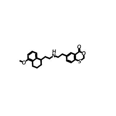 COc1cccc2c1CCCC2CCNCCc1ccc2c(c1)C(=O)OCS2